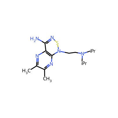 Cc1nc2c(nc1C)N(CCN(C(C)C)C(C)C)SN=C2N